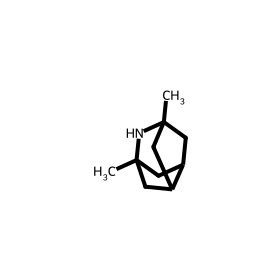 CC12CC3CC(C)(CC3C1)N2